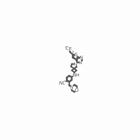 N#Cc1ccc(NC2CC3(CCN(c4ncnc5sc(CC(F)(F)F)cc45)C3)C2)cc1CN1CCOCC1